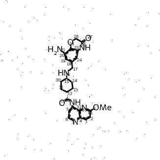 COc1ccc2nccc(NC(=O)[C@H]3CC[C@H](NCc4cc(N)c5c(c4)NC(=O)CO5)CC3)c2n1